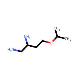 CC(C)OCCC(N)CN